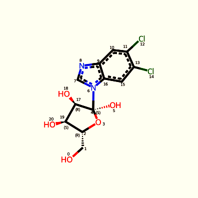 OC[C@H]1O[C@](O)(n2cnc3cc(Cl)c(Cl)cc32)[C@H](O)[C@@H]1O